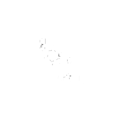 COc1ccc(C2CC(C)(Cl)CCO2)cc1